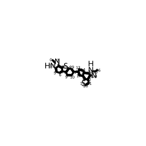 Cc1nc2c(ccc3c4ccc(-c5ccc6c(c5)c5sccc5c5nc(C)[nH]c65)cc4sc32)[nH]1